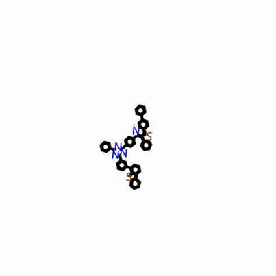 c1ccc(-c2ccc3c(c2)nc(-c2ccc(-c4nc(-c5ccccc5)nc(-c5cccc(-c6cccc7c6sc6ccccc67)c5)n4)cc2)c2c4ccccc4sc32)cc1